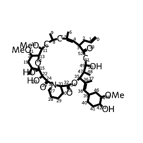 C=CCC1C=C(C)CC(C)CC(OC)C2OC(O)(C(C)CC2OC)C(O)C(=O)N2CCCCC2C(=O)OC(C(C)=CC2CCC(O)C(OC)C2)C(C)C(O)CC1=O